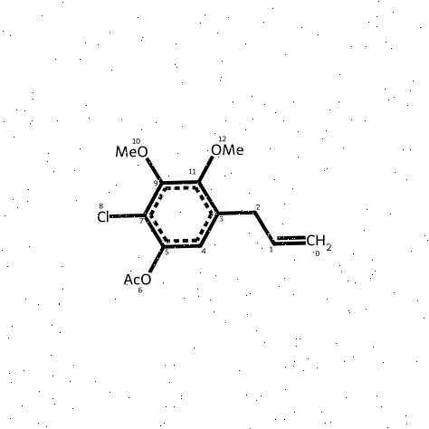 C=CCc1cc(OC(C)=O)c(Cl)c(OC)c1OC